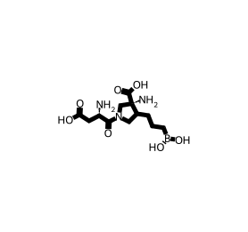 N[C@@H](CC(=O)O)C(=O)N1CC(CCCB(O)O)[C@](N)(C(=O)O)C1